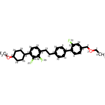 CCOCc1ccc(-c2ccc(CCc3ccc(C4CCC(OC)CC4)c(F)c3F)cc2)c(F)c1